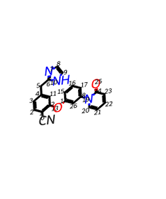 N#Cc1ccc(Cc2ncc[nH]2)cc1Oc1cccc(-n2ccccc2=O)c1